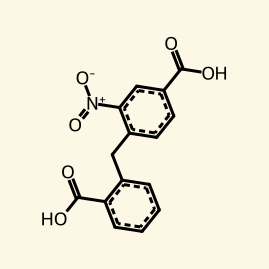 O=C(O)c1ccc(Cc2ccccc2C(=O)O)c([N+](=O)[O-])c1